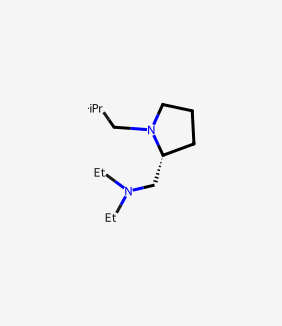 CCN(CC)C[C@H]1CCCN1C[C](C)C